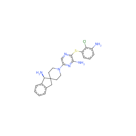 Nc1cccc(Sc2ncc(N3CCC4(CC3)Cc3ccccc3[C@H]4N)nc2N)c1Cl